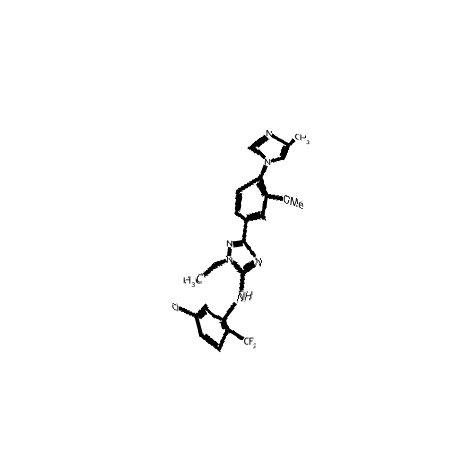 COc1cc(-c2nc(Nc3cc(Cl)ccc3C(F)(F)F)n(C)n2)ccc1-n1cnc(C)c1